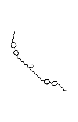 CCCCCC1CCC(c2ccc(CCCCCCCC(=O)CCCCCCCc3ccc([C@H]4CC[C@H](CCCCC)CC4)cc3)cc2)CC1